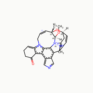 CN[N@+]12C3=C4C=C[C@@H](C3)O[C@@](C)(/C=C\Cn3c5c(c6c7c(c4c1c63)C=NC=7)C(=O)CCC=5)[C@H]2OC